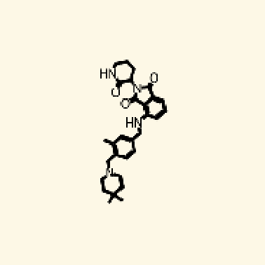 Cc1cc(CNc2cccc3c2C(=O)N(C2CCCNC2=O)C3=O)ccc1CN1CCC(C)(C)CC1